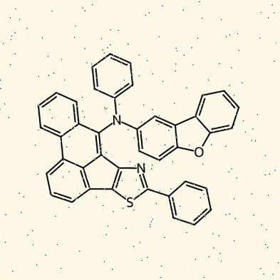 c1ccc(-c2nc3c(s2)-c2cccc4c2c-3c(N(c2ccccc2)c2ccc3oc5ccccc5c3c2)c2ccccc24)cc1